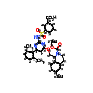 Cc1cccc(C)c1-c1cc(OCC2c3ccc(C(C)(C)C)cc3CCN2C(=O)OC(C)(C)C)nc(NS(=O)(=O)c2cccc(C(=O)O)c2)n1